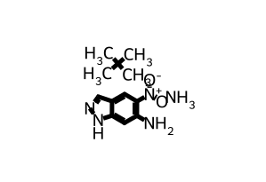 CC(C)(C)C.N.Nc1cc2[nH]ncc2cc1[N+](=O)[O-]